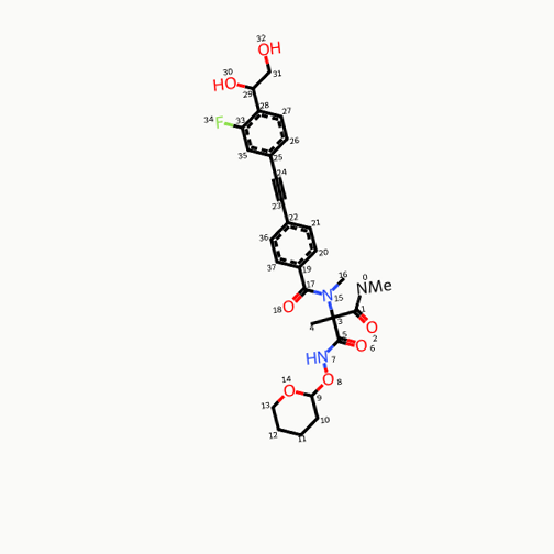 CNC(=O)C(C)(C(=O)NOC1CCCCO1)N(C)C(=O)c1ccc(C#Cc2ccc(C(O)CO)c(F)c2)cc1